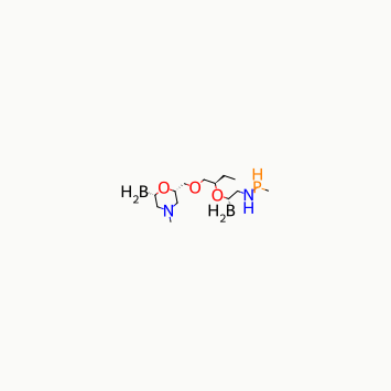 B[C@@H](CNPC)O[C@H](CC)COC[C@@H]1CN(C)C[C@H](B)O1